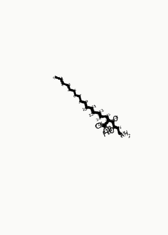 CCCCCCCCCCCCCCCCC(C(=O)O)C(=O)C(O)CCN